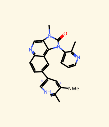 C=C(C)/C(=C\C(=C/N)c1ccc2ncc3c(c2c1)n(-c1cccnc1C)c(=O)n3C)NC